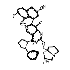 CCc1c(F)ccc2cc(O)cc(-c3ncc4c(N5CCCC5c5ccccc5)nc(OC[C@@]56CCCN5C[C@H](C)C6)nc4c3F)c12